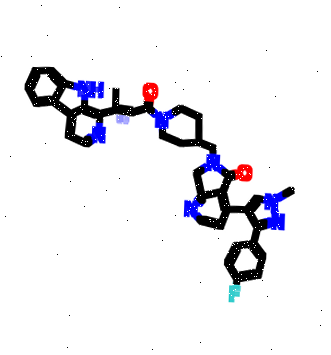 C/C(=C\C(=O)N1CCC(CN2Cc3nccc(-c4cn(C)nc4-c4ccc(F)cc4)c3C2=O)CC1)c1nccc2c1[nH]c1ccccc12